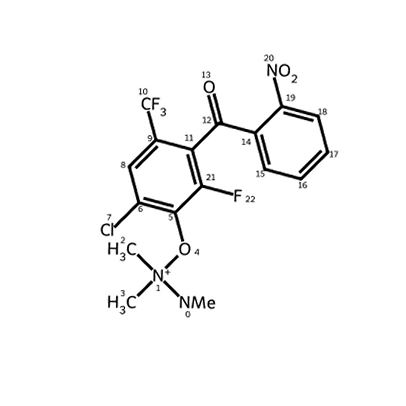 CN[N+](C)(C)Oc1c(Cl)cc(C(F)(F)F)c(C(=O)c2ccccc2[N+](=O)[O-])c1F